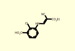 CCOC(=O)C(C#N)=CNc1cccc(C(=O)O)c1Cl